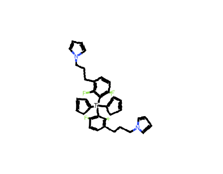 Fc1ccc(CCCn2cccc2)c(F)[c]1[Ti]([C]1=CC=CC1)([C]1=CC=CC1)[c]1c(F)ccc(CCCn2cccc2)c1F